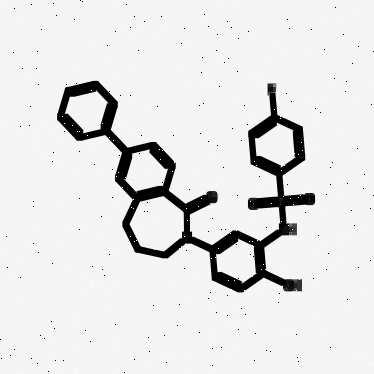 O=C1c2ccc(-c3ccccc3)cc2CCCN1c1ccc(O)c(NS(=O)(=O)c2ccc(F)cc2)c1